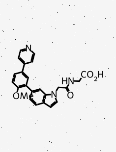 COc1ccc(-c2ccncc2)cc1-c1ccc2ccn(CC(=O)NCC(=O)O)c2c1